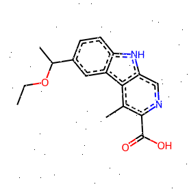 CCOC(C)c1ccc2[nH]c3cnc(C(=O)O)c(C)c3c2c1